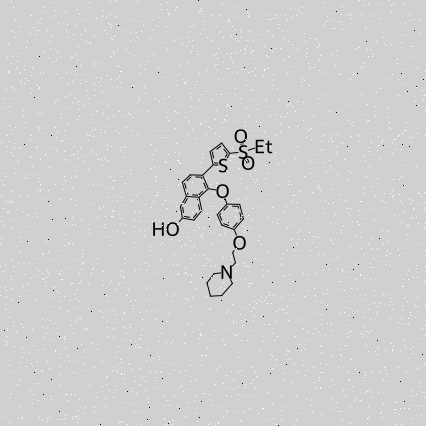 CCS(=O)(=O)c1ccc(-c2ccc3cc(O)ccc3c2Oc2ccc(OCCN3CCCCC3)cc2)s1